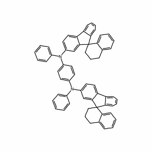 c1ccc(N(c2ccc(N(c3ccccc3)c3ccc4c(c3)C3(CCCc5ccccc53)c3ccccc3-4)cc2)c2ccc3c(c2)C2(CCCc4ccccc42)c2ccccc2-3)cc1